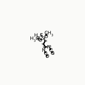 CO[Si](C)(CCC(N=C=O)N=C=O)OC